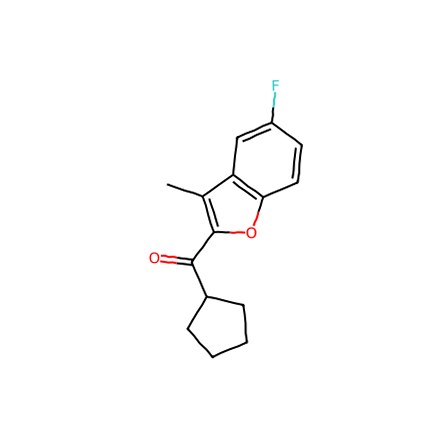 Cc1c(C(=O)C2CCCC2)oc2ccc(F)cc12